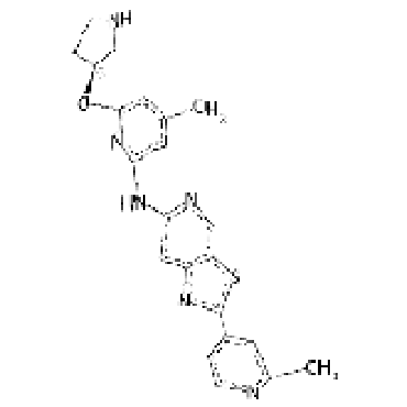 Cc1cc(Nc2cc3nc(-c4ccnc(C)c4)sc3cn2)nc(O[C@H]2CCNC2)c1